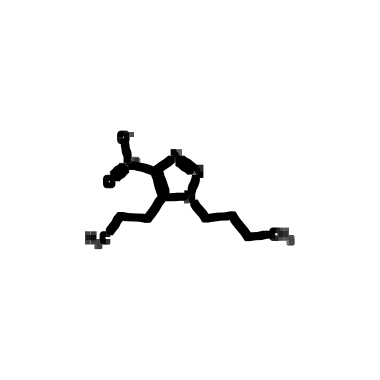 CCCCn1nnc([N+](=O)[O-])c1CCC